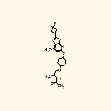 CC(=O)N[C@@H](C)CO[C@H]1CC[C@H](Oc2cc(C)c3nc(N4CC(F)(F)C4)sc3n2)CC1